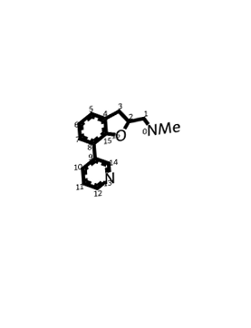 CNCC1Cc2cccc(-c3cccnc3)c2O1